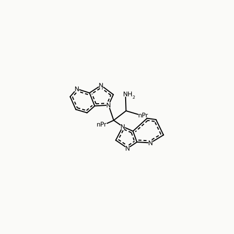 [CH2]CCC(C(N)CCC)(n1cnc2ncccc21)n1cnc2ncccc21